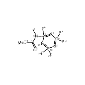 COC(=O)N(C)P1(F)=NP(F)(F)=NP(F)(F)=N1